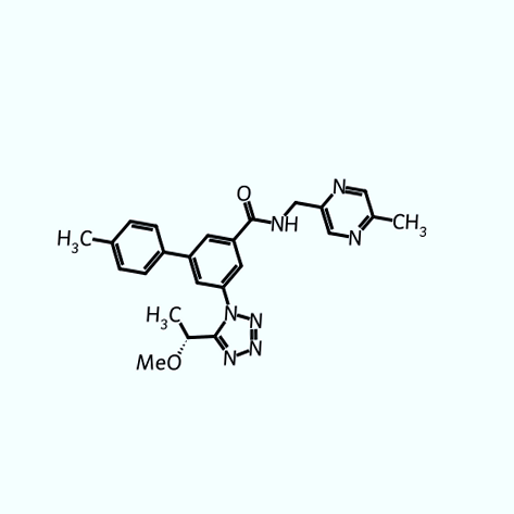 CO[C@H](C)c1nnnn1-c1cc(C(=O)NCc2cnc(C)cn2)cc(-c2ccc(C)cc2)c1